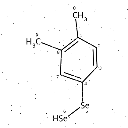 Cc1ccc([Se][SeH])cc1C